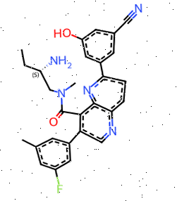 CC[C@H](N)CN(C)C(=O)c1c(-c2cc(C)cc(F)c2)cnc2ccc(-c3cc(O)cc(C#N)c3)nc12